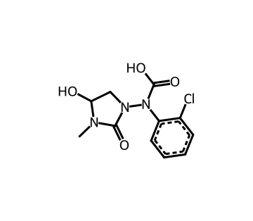 CN1C(=O)N(N(C(=O)O)c2ccccc2Cl)CC1O